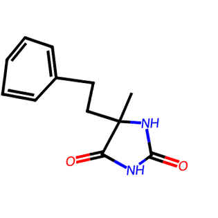 CC1(CCc2ccccc2)NC(=O)NC1=O